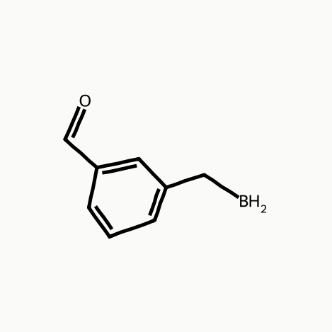 BCc1cccc(C=O)c1